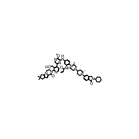 C=CC(=O)Nc1cc(Nc2nc(-c3ccnc(N4CCn5c(cc6c5CC(C)(C)C6)C4=O)c3CO)cnc2OC)ccc1N1CCN(C2CCN(c3ccc4c(c3)CN(C3CCCCC3)C4=O)[C@@H](C)C2)C[C@@H]1C